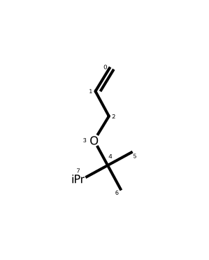 C=CCOC(C)(C)C(C)C